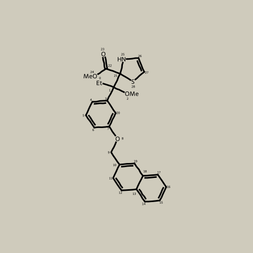 CCC(OC)(c1cccc(OCc2ccc3ccccc3c2)c1)C1(C(=O)OC)NC=CS1